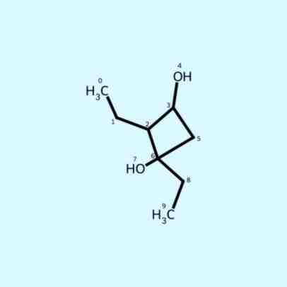 CCC1C(O)CC1(O)CC